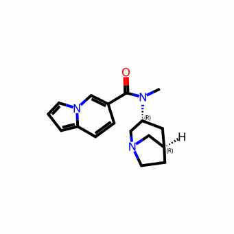 CN(C(=O)c1ccc2cccn2c1)[C@@H]1C[C@H]2CCN(C2)C1